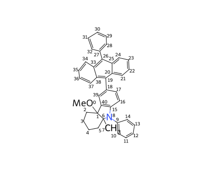 COC12CCCCC1(C)N(c1ccccc1)c1ccc(-c3c4ccccc4c(-c4ccccc4)c4ccccc34)cc12